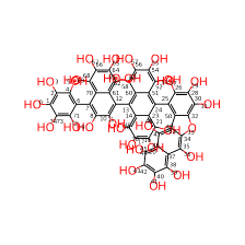 Oc1c(O)c(O)c(-c2c(O)c(O)c(-c3c4c(O)c(O)c(O)c(O)c4c(-c4c(O)c(O)c(O)c5oc6c(O)c7c(O)c(O)c(O)c(O)c7c(O)c6c45)c4c(O)c(O)c(O)c(O)c34)c3c(O)c(O)c(O)c(O)c23)c(O)c1O